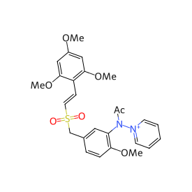 COc1cc(OC)c(C=CS(=O)(=O)Cc2ccc(OC)c(N(C(C)=O)[n+]3ccccc3)c2)c(OC)c1